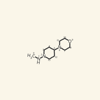 CNN1CCC(N2CCOCC2)CC1